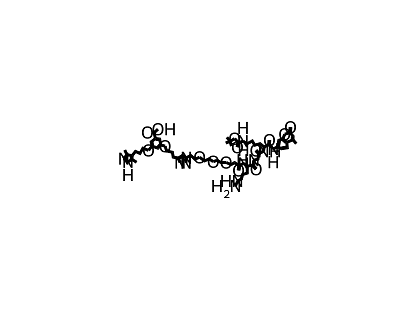 Cc1n[nH]c(C)c1CCCOc1cc(OCCCc2cn(CCOCCOCCOCCC(=O)NC(CCCNN)C(=O)NCC(=O)NC(CCCCNC(=O)OC(C)(C)C)C(=O)Nc3ccc4c(C)cc(=O)oc4c3)nn2)cc(C(=O)O)c1